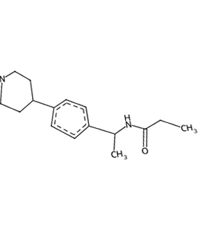 CCC(=O)NC(C)c1ccc(C2CCNCC2)cc1